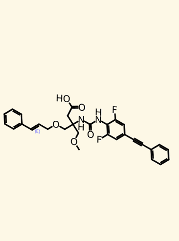 COCC(COC/C=C/c1ccccc1)(CC(=O)O)NC(=O)Nc1c(F)cc(C#Cc2ccccc2)cc1F